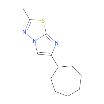 Cc1nn2cc(C3CCCCCC3)nc2s1